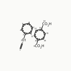 C=C.CCc1ccccc1.O=C(O)c1ccc(C(=O)O)cc1